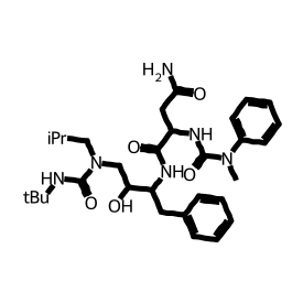 CC(C)CN(CC(O)C(Cc1ccccc1)NC(=O)C(CC(N)=O)NC(=O)N(C)c1ccccc1)C(=O)NC(C)(C)C